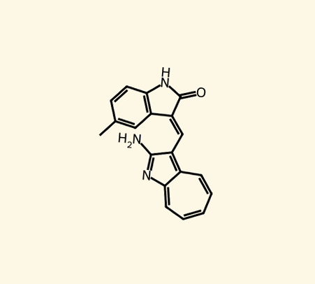 Cc1ccc2c(c1)C(=Cc1c3cccccc-3nc1N)C(=O)N2